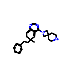 CC1(CCc2ccccc2)C=c2c(N3CC4(CCNCC4)C3)ncnc2=CC1